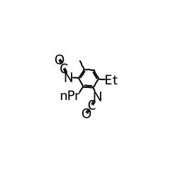 CCCc1c(N=C=O)c(C)cc(CC)c1N=C=O